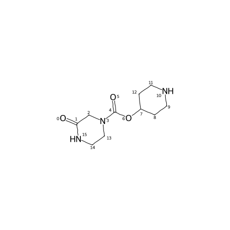 O=C1CN(C(=O)OC2CCNCC2)CCN1